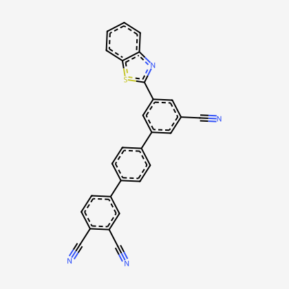 N#Cc1cc(-c2ccc(-c3ccc(C#N)c(C#N)c3)cc2)cc(-c2nc3ccccc3s2)c1